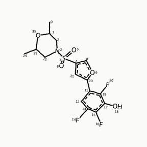 CC1CN(S(=O)(=O)c2coc(-c3cc(F)c(F)c(O)c3F)c2)CC(C)O1